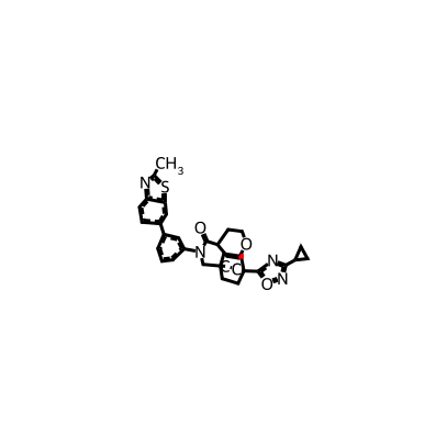 Cc1nc2ccc(-c3cccc(N(CC45CCC(c6nc(C7CC7)no6)(CC4)CC5)C(=O)C4CCOCC4)c3)cc2s1